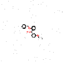 COc1cccc(C(O)c2ccccc2OCc2ccccc2)c1